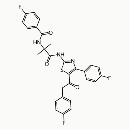 CC(C)(NC(=O)c1ccc(F)cc1)C(=O)Nc1nc(-c2ccc(F)cc2)c(C(=O)Cc2ccc(F)cc2)s1